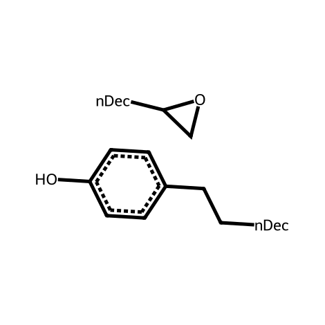 CCCCCCCCCCC1CO1.CCCCCCCCCCCCc1ccc(O)cc1